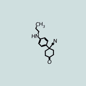 CCCNc1ccc(C2(C#N)CCC(=O)CC2)cc1